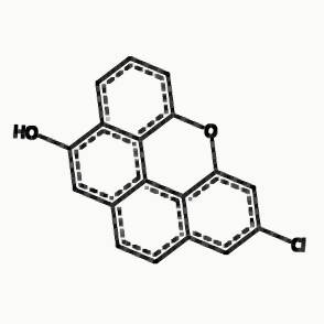 Oc1cc2ccc3cc(Cl)cc4c3c2c2c(cccc12)O4